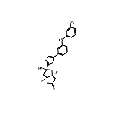 O=C1C[C@@H]2C[C@@](O)(c3ncc(-c4cccc(Nc5nccc(C(F)(F)F)n5)c4)s3)C[C@@H]2C1